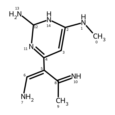 CNC1=CC(/C(=C/N)C(C)=N)=NC(N)N1